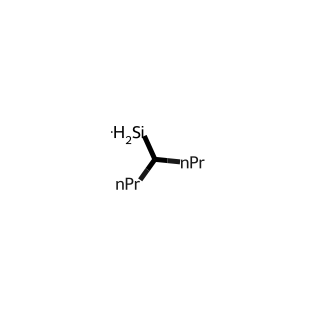 CCCC([SiH2])CCC